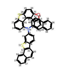 c1ccc(N(c2ccc3c(c2)sc2c4ccccc4ccc32)c2cccc3sc4ccc5oc6c7ccccc7ccc6c5c4c23)cc1